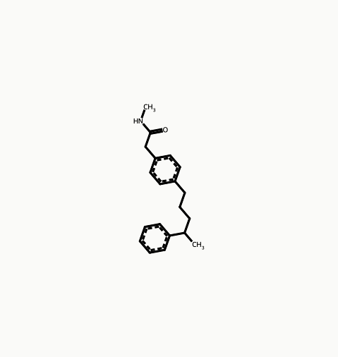 CNC(=O)Cc1ccc(CCCC(C)c2ccccc2)cc1